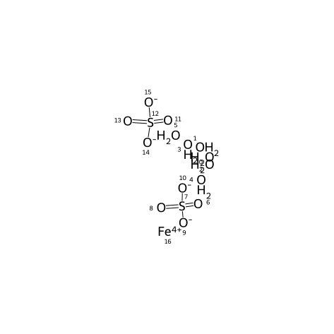 O.O.O.O.O.O.O=S(=O)([O-])[O-].O=S(=O)([O-])[O-].[Fe+4]